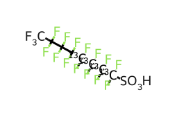 O=S(=O)(O)[13C](F)(F)[13C](F)(F)[13C](F)(F)[13C](F)(F)C(F)(F)C(F)(F)C(F)(F)C(F)(F)F